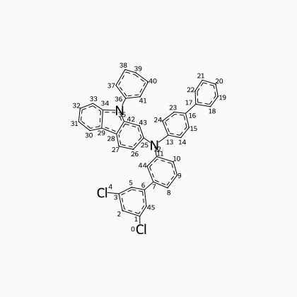 Clc1cc(Cl)cc(-c2cccc(N(c3ccc(-c4ccccc4)cc3)c3ccc4c5ccccc5n(-c5ccccc5)c4c3)c2)c1